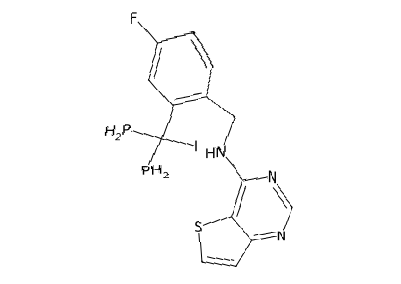 Fc1ccc(CNc2ncnc3ccsc23)c(C(P)(P)I)c1